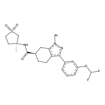 CC(C)n1nc(-c2cccc(OC(F)F)c2)c2c1C[C@H](C(=O)N[C@@]1(C)CCS(=O)(=O)C1)CC2